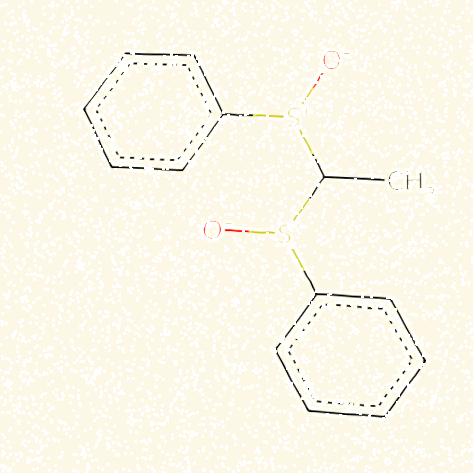 CC([S+]([O-])c1ccccc1)[S+]([O-])c1ccccc1